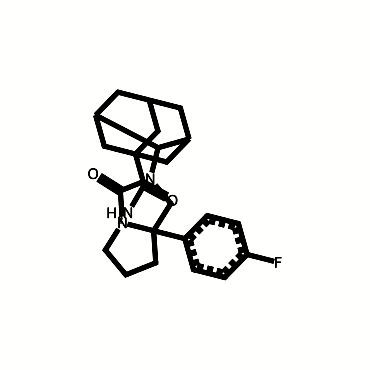 NC(=O)C12CC3CC(C1)C(N1CC4(c5ccc(F)cc5)CCCN4C1=O)C(C3)C2